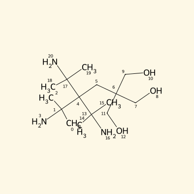 CC(C)(N)C(CC(CO)(CO)CO)(C(C)(C)N)C(C)(C)N